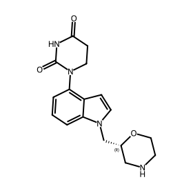 O=C1CCN(c2cccc3c2ccn3C[C@H]2CNCCO2)C(=O)N1